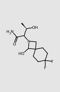 C[C@@H](O)C(C(N)=O)N1CC2(CCC(F)(F)CC2)C1O